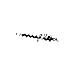 CCCCCCCCCNC(=O)OCCc1cc(C)oc1C